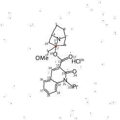 COCCN1C2CCC1CC(OC(=O)c1cc3ccccc3n(C(C)C)c1=O)C2.Cl